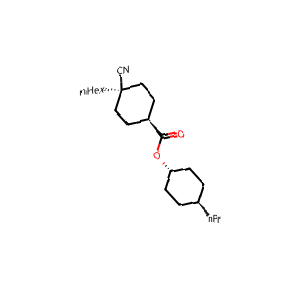 CCCCCC[C@]1(C#N)CC[C@@H](C(=O)O[C@H]2CC[C@H](CCC)CC2)CC1